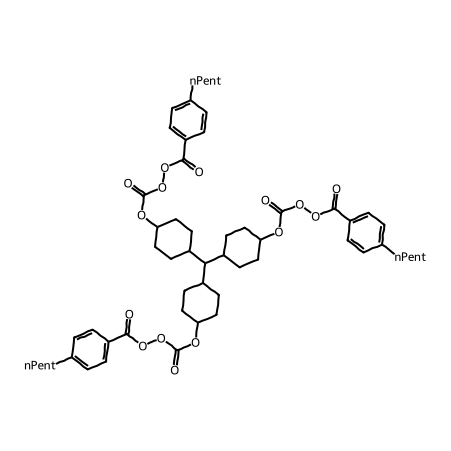 CCCCCc1ccc(C(=O)OOC(=O)OC2CCC(C(C3CCC(OC(=O)OOC(=O)c4ccc(CCCCC)cc4)CC3)C3CCC(OC(=O)OOC(=O)c4ccc(CCCCC)cc4)CC3)CC2)cc1